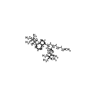 COCOC[C@@H]1C[C@H](c2csc3c(S(=O)(=O)C(C)(C)C)ncnc23)C[C@@H]1O[Si](C)(C)C(C)(C)C